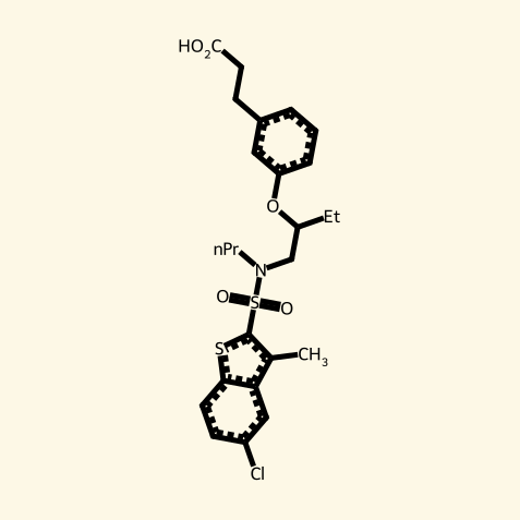 CCCN(CC(CC)Oc1cccc(CCC(=O)O)c1)S(=O)(=O)c1sc2ccc(Cl)cc2c1C